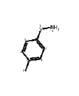 Cc1cc[c]([V][NH2])cc1